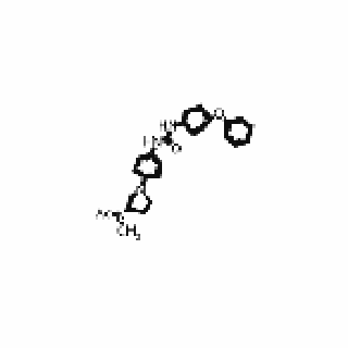 CC(=O)N(C)C1CCN(c2ccc(NC(=O)Nc3ccc(Oc4ccccc4)cc3)cc2)C1